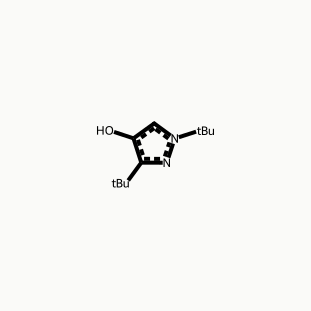 CC(C)(C)c1nn(C(C)(C)C)cc1O